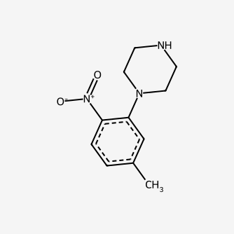 Cc1ccc([N+](=O)[O-])c(N2CCNCC2)c1